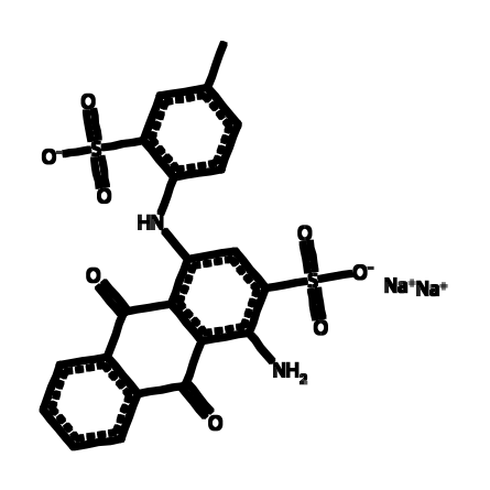 Cc1ccc(Nc2cc(S(=O)(=O)[O-])c(N)c3c2C(=O)c2ccccc2C3=O)c(S(=O)(=O)[O-])c1.[Na+].[Na+]